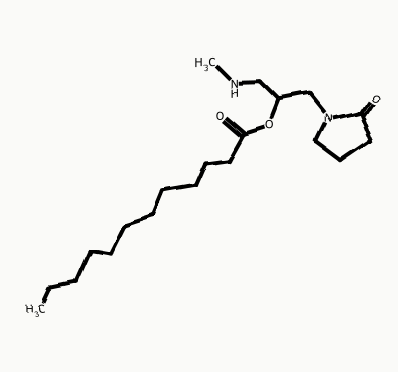 CCCCCCCCCCCC(=O)OC(CNC)CN1CCCC1=O